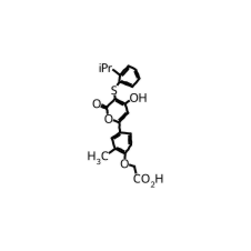 Cc1cc(-c2cc(O)c(Sc3ccccc3C(C)C)c(=O)o2)ccc1OCC(=O)O